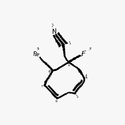 N#CC1(F)C=CC=CC1Br